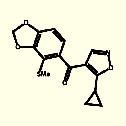 CSc1c(C(=O)c2cnoc2C2CC2)ccc2c1OCO2